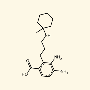 CC1(NCCCc2c(C(=O)O)ccc(N)c2N)CCCCC1